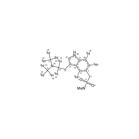 [2H]c1c(CS(=O)(=O)NC)c([2H])c2c(CC([2H])([2H])N(C([2H])([2H])[2H])C([2H])([2H])[2H])c[nH]c2c1[2H]